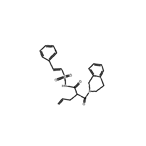 C=CCC(C(=O)NS(=O)(=O)/C=C/c1ccccc1)C(=O)N1CCc2ccccc2C1